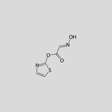 O=C(C=NO)Oc1nccs1